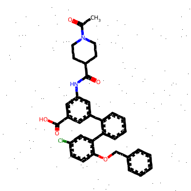 CC(=O)N1CCC(C(=O)Nc2cc(C(=O)O)cc(-c3ccccc3-c3cc(Cl)ccc3OCc3ccccc3)c2)CC1